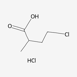 CC(CCCl)C(=O)O.Cl